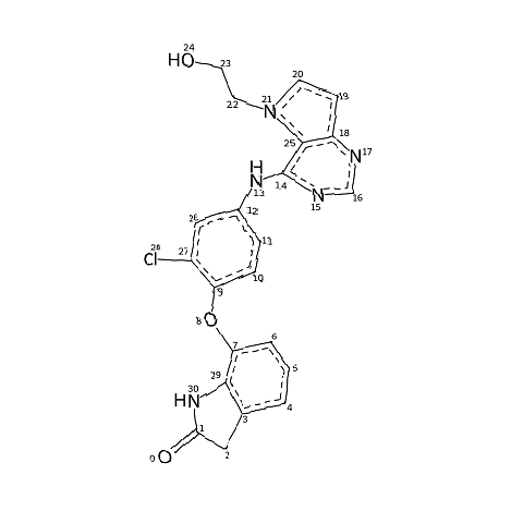 O=C1Cc2cccc(Oc3ccc(Nc4ncnc5ccn(CCO)c45)cc3Cl)c2N1